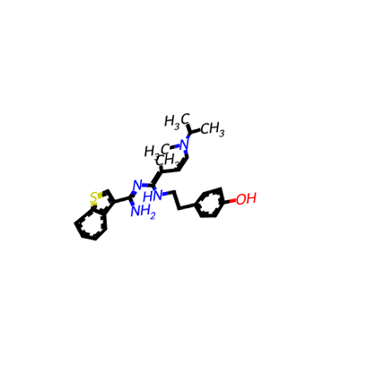 CC(/C=C\N(C)C(C)C)=C(\N=C(/N)c1csc2ccccc12)NCCc1ccc(O)cc1